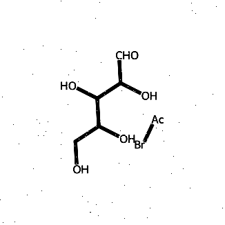 CC(=O)Br.O=CC(O)C(O)C(O)CO